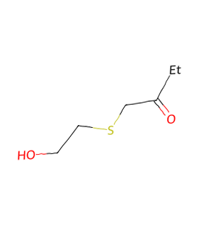 CCC(=O)CSCCO